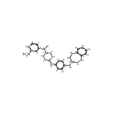 CC(c1ccnc(N)c1)N1CCC(Oc2ccc(CN3CCc4ccccc4CC3)cc2)CC1